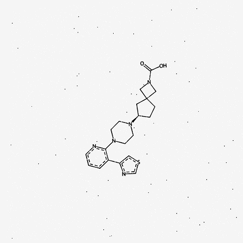 O=C(O)N1CC2(CC[C@@H](N3CCN(c4ncccc4-c4cscn4)CC3)C2)C1